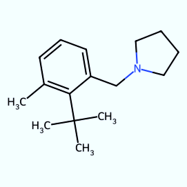 Cc1cccc(CN2CCCC2)c1C(C)(C)C